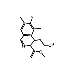 C=C(OC)C1N=Cc2cc(C)c(F)c(C)c2C1CCO